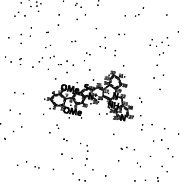 COc1cccc(OC)c1-c1ccc2c(c1)sc(C=C1C=C(N)N(Cc3ccncc3)c3ccccc31)[n+]2C